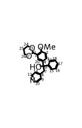 COc1ccc(C(O)(Cc2ccncc2)c2ccccc2)cc1C1OCCCO1